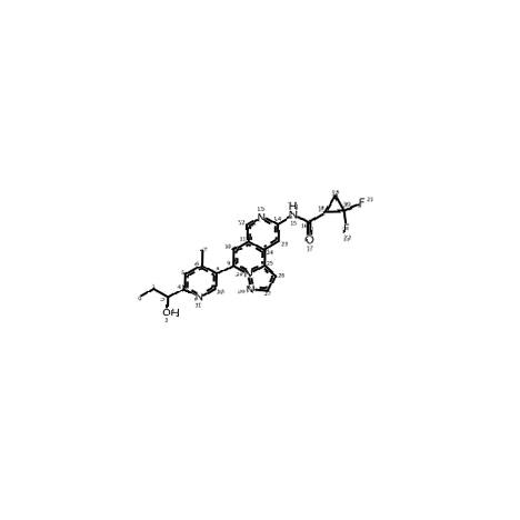 CCC(O)c1cc(C)c(-c2cc3cnc(NC(=O)C4CC4(F)F)cc3c3ccnn23)cn1